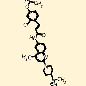 Cc1cc(N2CCC(N(C)C)CC2)nc2ccc(NC(=O)/C=C/c3ccc(OC(C)C)cc3Cl)cc12